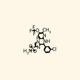 Cc1nc(NC(c2cccc(Cl)c2)c2nc(S(N)(=O)=O)c[nH]2)ccc1OC(F)(F)F